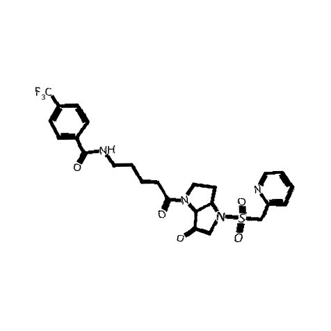 O=C(NCCCCC(=O)N1CCC2C1C(=O)CN2S(=O)(=O)Cc1ccccn1)c1ccc(C(F)(F)F)cc1